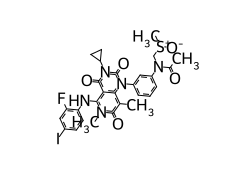 CC(=O)N(C[S+](C)[O-])c1cccc(-n2c(=O)n(C3CC3)c(=O)c3c(Nc4ccc(I)cc4F)n(C)c(=O)c(C)c32)c1